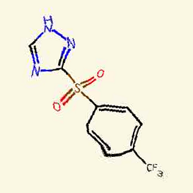 O=S(=O)(c1ccc(C(F)(F)F)cc1)c1nc[nH]n1